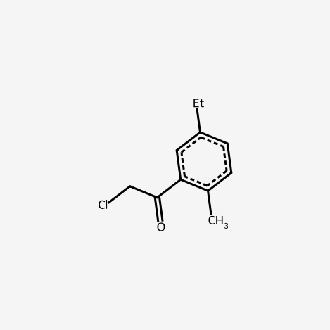 CCc1ccc(C)c(C(=O)CCl)c1